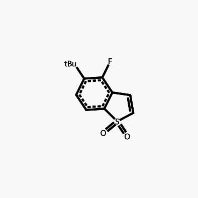 CC(C)(C)c1ccc2c(c1F)C=CS2(=O)=O